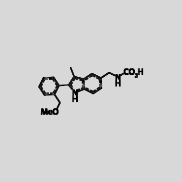 COCc1ccccc1-c1[nH]c2ccc(CNC(=O)O)cc2c1C